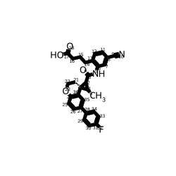 CC1C(C(=O)Nc2cc(C#N)ccc2CCCC(=O)O)[C@@]12CCOc1ccc(-c3ccc(F)cc3)cc12